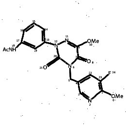 COc1ncc(Cn2c(=O)c(OC)nn(-c3cccc(NC(C)=O)c3)c2=O)cc1F